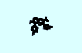 CC(C)N(Cc1ccc(F)c(-c2ccc(F)nc2)c1)C(=O)c1cn(C)cn1